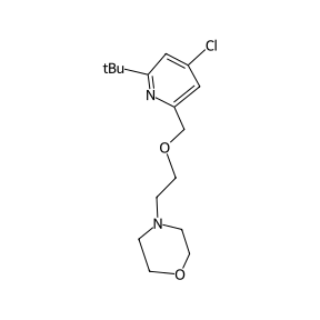 CC(C)(C)c1cc(Cl)cc(COCCN2CCOCC2)n1